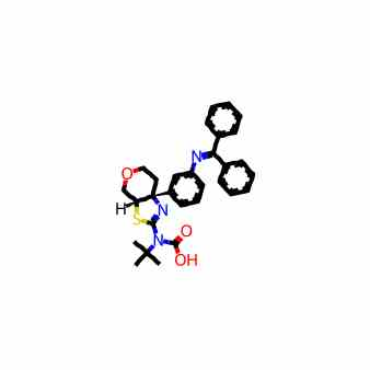 CC(C)(C)N(C(=O)O)C1=N[C@@]2(c3cccc(N=C(c4ccccc4)c4ccccc4)c3)CCOC[C@H]2S1